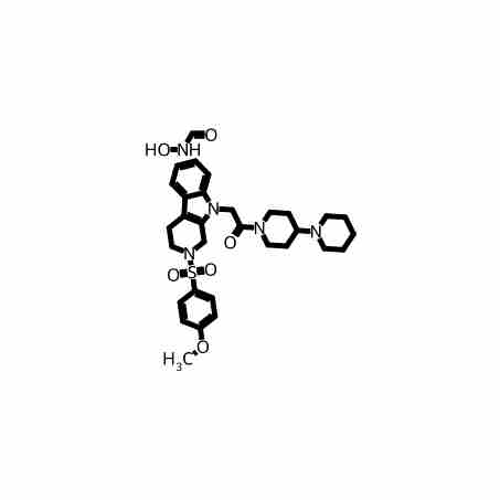 COc1ccc(S(=O)(=O)N2CCc3c(n(CC(=O)N4CCC(N5CCCCC5)CC4)c4ccccc34)C2)cc1.O=CNO